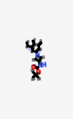 C=C/C=C(\C=C(/C=C)CC)N1CC(NC(=O)OC(C)(C)C)C1